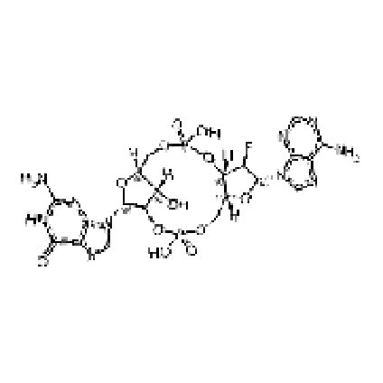 Nc1nc2c(ncn2[C@@H]2O[C@@H]3COP(=O)(O)O[C@@H]4C(F)[C@H](n5cnc6c(N)ncnc65)O[C@@H]4COP(=O)(O)OC2[C@H]3O)c(=O)[nH]1